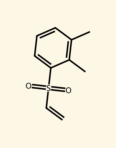 C=CS(=O)(=O)c1cccc(C)c1C